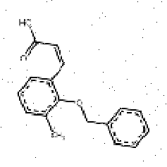 Cc1cccc(/C=C\C(=O)O)c1OCc1ccccc1